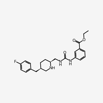 CCOC(=O)c1cccc(NC(=O)NC[C@@H]2CC[C@H](Cc3ccc(F)cc3)CN2)c1